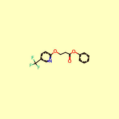 O=C(CCOc1ccc(C(F)(F)F)cn1)Oc1ccccc1